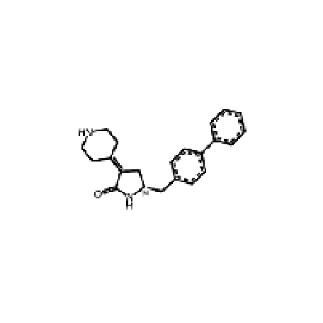 O=C1N[C@H](Cc2ccc(-c3ccccc3)cc2)CC1=C1CCNCC1